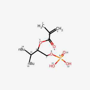 C=C(C)C(=O)OC(COP(=O)(O)O)C(CCCC)CCCC